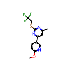 COc1ccc(-c2cc(C)nc(SCC(F)(F)F)n2)cn1